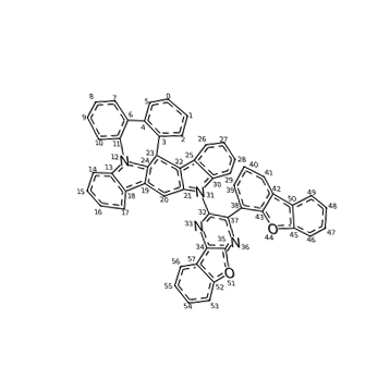 c1ccc2c(c1)-c1ccccc1-n1c3ccccc3c3cc4c(c-2c31)c1ccccc1n4-c1nc2c(nc1-c1cccc3c1oc1ccccc13)oc1ccccc12